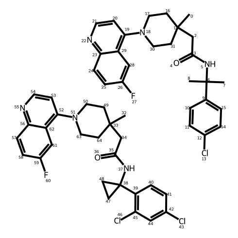 CC1(CC(=O)NC(C)(C)c2ccc(Cl)cc2)CCN(c2ccnc3ccc(F)cc23)CC1.CC1(CC(=O)NC2(c3ccc(Cl)cc3Cl)CC2)CCN(c2ccnc3ccc(F)cc23)CC1